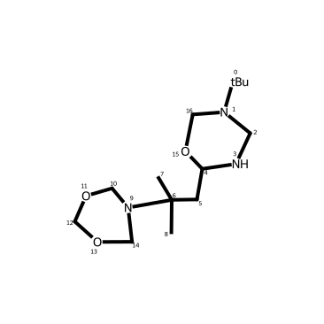 CC(C)(C)N1CNC(CC(C)(C)N2COCOC2)OC1